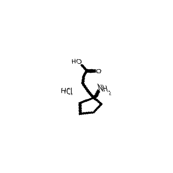 Cl.NC1(CC(=O)O)CCCC1